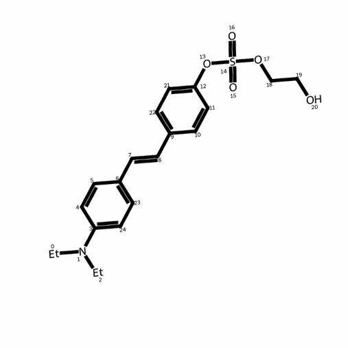 CCN(CC)c1ccc(C=Cc2ccc(OS(=O)(=O)OCCO)cc2)cc1